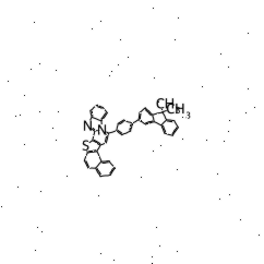 CC1(C)c2ccccc2-c2cc(-c3ccc(-c4cc5c(sc6ccc7ccccc7c65)c5nc6ccccc6n45)cc3)ccc21